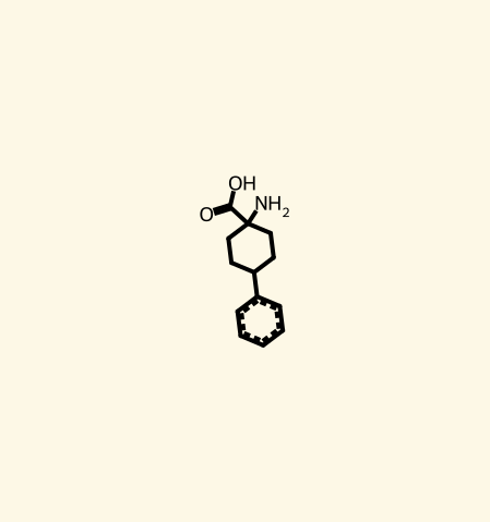 NC1(C(=O)O)CCC(c2ccccc2)CC1